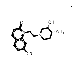 N#Cc1ccc2ccc(=O)n(CCN3CC[C@@H](N)[C@@H](O)C3)c2c1